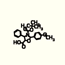 COc1ccc(C2OC(C(=O)O)C(c3ccccc3)N2C(=O)OC(C)(C)C)cc1